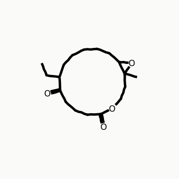 CCC1CCCCCC2OC2(C)CCOC(=O)CCCC1=O